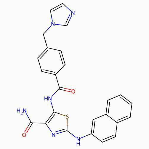 NC(=O)c1nc(Nc2ccc3ccccc3c2)sc1NC(=O)c1ccc(Cn2ccnc2)cc1